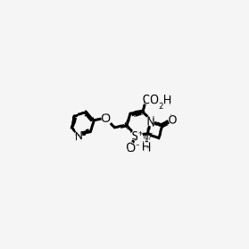 O=C(O)C1=CC(COc2cccnc2)[S+]([O-])[C@@H]2CC(=O)N12